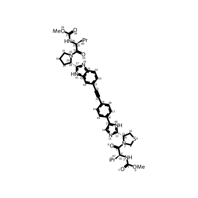 COC(=O)N[C@H](C(=O)N1CSC[C@H]1c1ncc(-c2ccc(C#Cc3ccc4nc([C@@H]5CCCN5C(=O)[C@@H](NC(=O)OC)C(C)C)[nH]c4c3)cc2)[nH]1)C(C)C